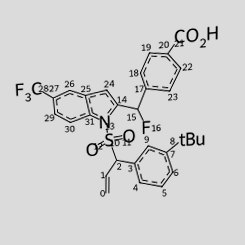 C=CC(c1cccc(C(C)(C)C)c1)S(=O)(=O)n1c(C(F)c2ccc(C(=O)O)cc2)cc2cc(C(F)(F)F)ccc21